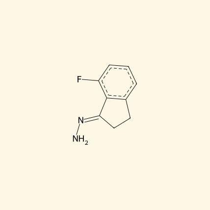 N/N=C1\CCc2cccc(F)c21